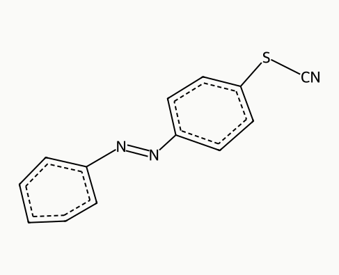 N#CSc1ccc(N=Nc2ccccc2)cc1